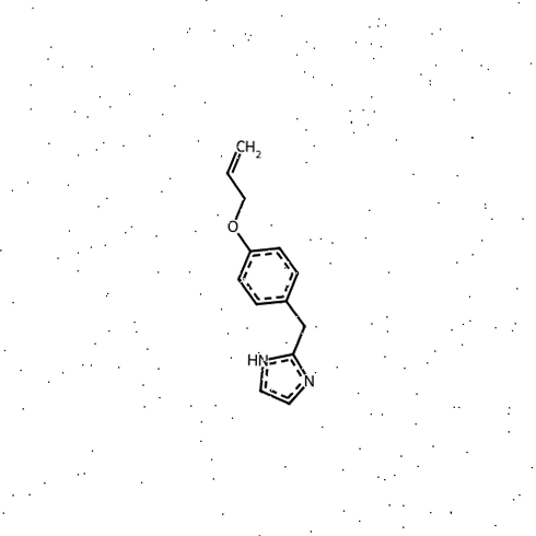 C=CCOc1ccc(Cc2ncc[nH]2)cc1